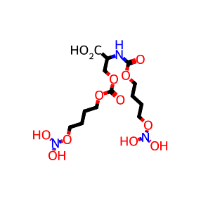 O=C(NC(COC(=O)OCCCCON(O)O)C(=O)O)OCCCCON(O)O